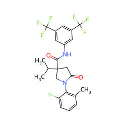 Cc1cccc(F)c1N1CC(C(=O)Nc2cc(C(F)(F)F)cc(C(F)(F)F)c2)(C(C)C)CC1=O